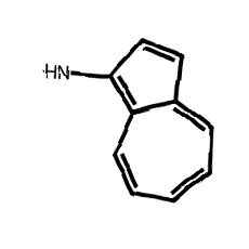 [NH]c1ccc2cccccc1-2